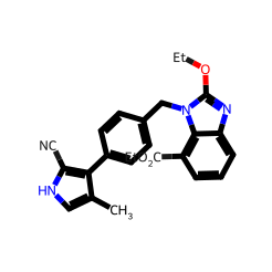 CCOC(=O)c1cccc2nc(OCC)n(Cc3ccc(-c4c(C)c[nH]c4C#N)cc3)c12